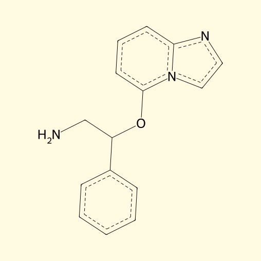 NCC(Oc1cccc2nccn12)c1ccccc1